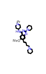 COc1cc2c(NC3CCN(C(C)C)CC3)nc(N3CCCCC3)nc2cc1C=CCCN1CCCCC1